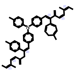 C=C(/C=C\C(C)=C/C)C/C(=C/c1ccc(N(c2ccc(C)cc2)c2ccc(/C=C(/C(=C)/C=C\C(C)=C/C)C3=CC=C(C)CC=C3)cc2)cc1)c1ccc(C)cc1